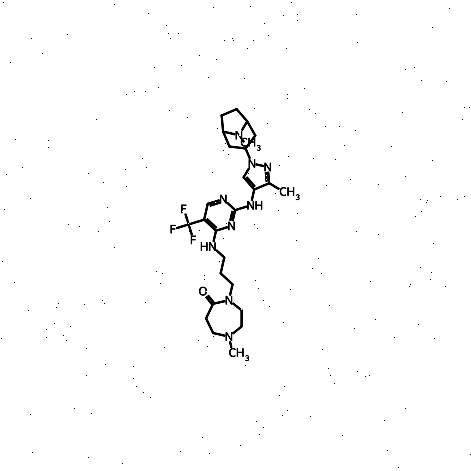 Cc1nn(C2CC3CCC(C2)N3C)cc1Nc1ncc(C(F)(F)F)c(NCCCN2CCN(C)CCC2=O)n1